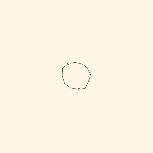 C1CCCOCCCCOCC1